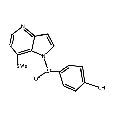 CSc1ncnc2ccn([S+]([O-])c3ccc(C)cc3)c12